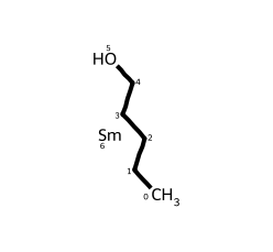 CCCCCO.[Sm]